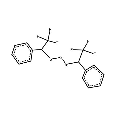 FC(F)(F)C(SSSC(c1ccccc1)C(F)(F)F)c1ccccc1